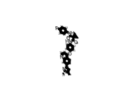 Cc1cc(-c2ccc3c(Oc4ccc(NC(=O)C5(C(=O)Nc6ccc(F)cc6)CC5)cc4)ccnc3c2)nn1C